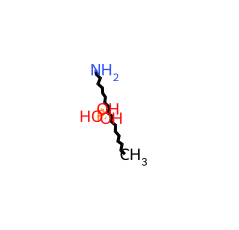 CCCCCCCCCCCCCCCCCCN.OP(O)O